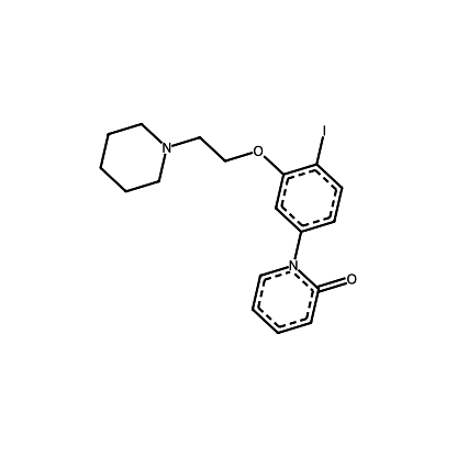 O=c1ccccn1-c1ccc(I)c(OCCN2CCCCC2)c1